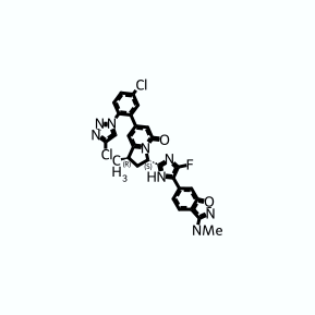 CNc1noc2cc(-c3[nH]c([C@@H]4C[C@@H](C)c5cc(-c6cc(Cl)ccc6-n6cc(Cl)nn6)cc(=O)n54)nc3F)ccc12